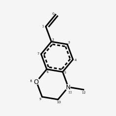 C=Cc1ccc2c(c1)OCCN2C